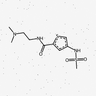 CN(C)CCNC(=O)c1cc(NS(C)(=O)=O)cs1